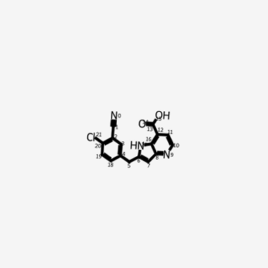 N#Cc1cc(Cc2cc3nccc(C(=O)O)c3[nH]2)ccc1Cl